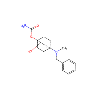 CN(Cc1ccccc1)C12CCC(OC(N)=O)(CC1)C(O)C2